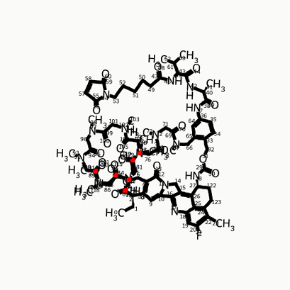 CC[C@H]1C(=O)OCc2c1cc1n(c2=O)Cc2c-1nc1cc(F)c(C)c3c1c2[C@@H](NC(=O)OCc1ccc(NC(=O)[C@H](C)NC(=O)C(NC(=O)CCCCCN2C(=O)C=CC2=O)C(C)C)cc1CN(C)C(=O)CN(C)C(=O)CN(C)C(=O)CN(C)C(=O)CN(C)C(=O)CN(C)C(=O)CN(C)C(=O)CN(C)C(=O)CN(C)C(=O)CN(C)C(=O)CN(C)C(C)=O)CC3